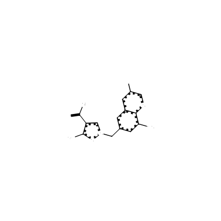 N#Cc1nn(Cc2cc(C#N)c3ncc(Cl)cc3c2)cc1C(N)=O